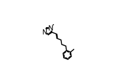 Cc1ccccc1CCCC=Cc1cncn1C